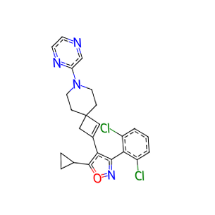 Clc1cccc(Cl)c1-c1noc(C2CC2)c1C1=CC2(CCN(c3cnccn3)CC2)C1